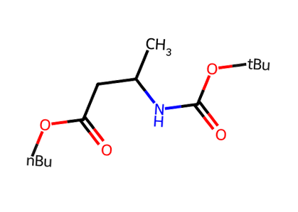 CCCCOC(=O)CC(C)NC(=O)OC(C)(C)C